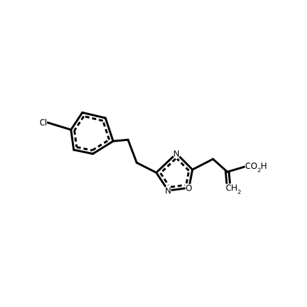 C=C(Cc1nc(CCc2ccc(Cl)cc2)no1)C(=O)O